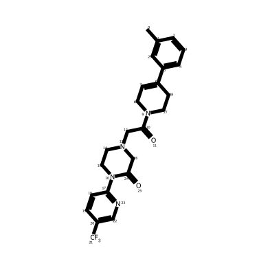 Cc1cccc(C2=CCN(C(=O)CN3CCN(c4ccc(C(F)(F)F)cn4)C(=O)C3)CC2)c1